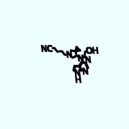 N#CCCCCN1CC(n2c(CO)nc3cnc4[nH]ccc4c32)C2(CC2)C1